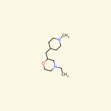 CCN1CCOC(CC2CCN(C)CC2)C1